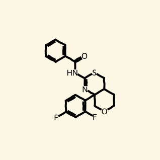 O=C(NC1=NC2(c3ccc(F)cc3F)COCCC2CS1)c1ccccc1